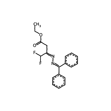 CCOC(=O)C/C(=N/N=C(c1ccccc1)c1ccccc1)C(F)F